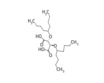 CCCCC(CCCC)O[C@@H](C(=O)O)[C@@H](OC(CCCC)CCCC)C(=O)O